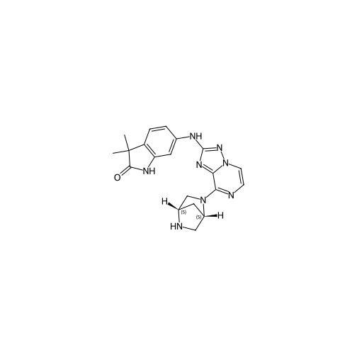 CC1(C)C(=O)Nc2cc(Nc3nc4c(N5C[C@@H]6C[C@H]5CN6)nccn4n3)ccc21